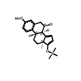 CC[C@@H]1Cc2cc(OC)ccc2[C@H]2CC[C@]3(C)C(O[Si](C)(C)C)=CC=C3[C@H]12